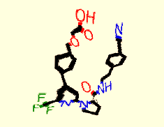 N#Cc1ccc(CCNC(=O)[C@@H]2CCCN2c2cc(-c3ccc(COCC(=O)O)cc3)cc(C(F)(F)F)n2)cc1